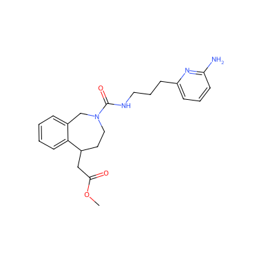 COC(=O)CC1CCN(C(=O)NCCCc2cccc(N)n2)Cc2ccccc21